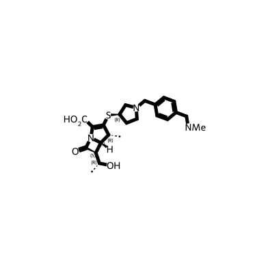 CNCc1ccc(CN2CC[C@@H](SC3=C(C(=O)O)N4C(=O)[C@H]([C@@H](C)O)[C@H]4[C@H]3C)C2)cc1